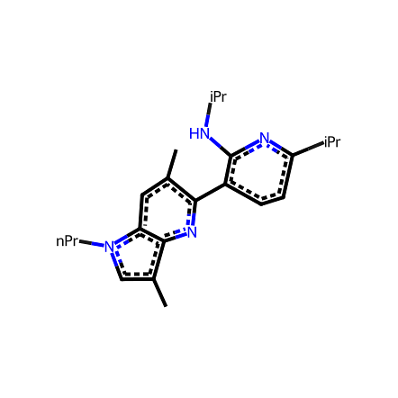 CCCn1cc(C)c2nc(-c3ccc(C(C)C)nc3NC(C)C)c(C)cc21